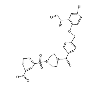 O=CC(Br)c1cc(Br)ccc1OCc1ccc(C(=O)N2CCN(S(=O)(=O)c3cccc([N+](=O)[O-])c3)CC2)cc1